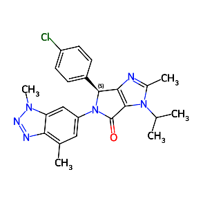 Cc1cc(N2C(=O)c3c(nc(C)n3C(C)C)[C@@H]2c2ccc(Cl)cc2)cc2c1nnn2C